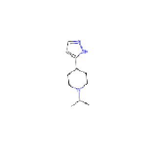 CC(C)N1CCC(c2ccn[nH]2)CC1